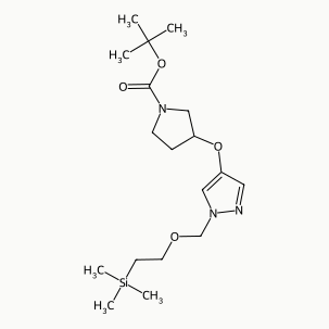 CC(C)(C)OC(=O)N1CCC(Oc2cnn(COCC[Si](C)(C)C)c2)C1